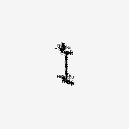 Cc1ncsc1-c1ccc(CNC(=O)[C@@H]2C[C@@H](O)CN2C(=O)[C@@H](NC(=O)COCCOCCOCCOCCOCCOc2cc(-c3scnc3C)ccc2CNC(=O)[C@@H]2C[C@@H](O)CN2C(=O)[C@@H](NC(=O)C2(C#N)CC2)C(C)(C)C)C(C)(C)C)cc1